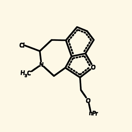 CCCOCc1oc2cccc3c2c1CN(C)C(Cl)C3